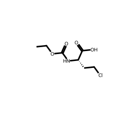 CCOC(=O)N[C@@H](CCCl)C(=O)O